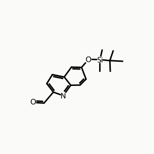 CC(C)(C)[Si](C)(C)Oc1ccc2nc(C=O)ccc2c1